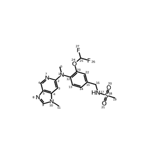 CN(c1cc2c(cn1)ncn2C)c1ccc(CNS(C)(=O)=O)cc1OC(F)F